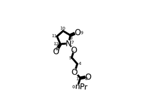 CCCC(=O)OCCON1C(=O)CCC1=O